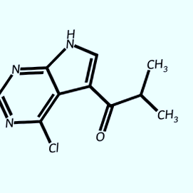 CC(C)C(=O)c1c[nH]c2ncnc(Cl)c12